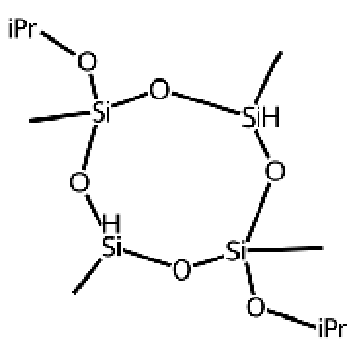 CC(C)O[Si]1(C)O[SiH](C)O[Si](C)(OC(C)C)O[SiH](C)O1